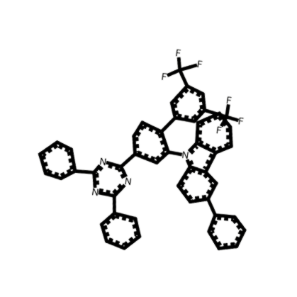 FC(F)(F)c1cc(-c2ccc(-c3nc(-c4ccccc4)nc(-c4ccccc4)n3)cc2-n2c3ccccc3c3cc(-c4ccccc4)ccc32)cc(C(F)(F)F)c1